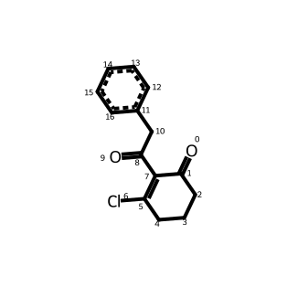 O=C1CCCC(Cl)=C1C(=O)Cc1ccccc1